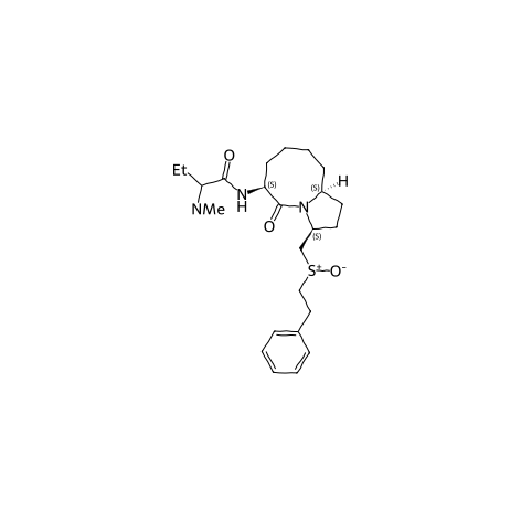 CCC(NC)C(=O)N[C@H]1CCCC[C@H]2CC[C@@H](C[S+]([O-])CCc3ccccc3)N2C1=O